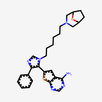 Nc1ncnc2sc(-c3c(-c4ccccc4)ncn3CCCCCCN3CC4CCC(C3)O4)cc12